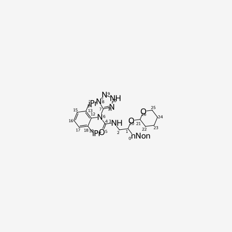 CCCCCCCCCC(CNC(=O)N(c1nn[nH]n1)c1c(C(C)C)cccc1C(C)C)OC1CCCCO1